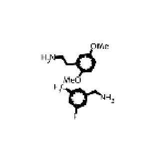 COc1ccc(OC)c(CCN)c1.NCc1cc(F)cc(C(F)(F)F)c1